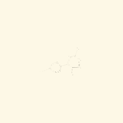 Nc1nnc(Br)c(-c2ccc(Cl)cc2)n1